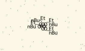 CCCCC(CC)CO[O][Ti](=[O])([O]CC(CC)CCCC)([O]CC(CC)CCCC)[O]OCC(CC)CCCC